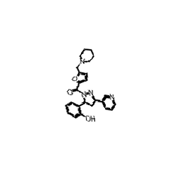 O=C(c1ccc(CN2CCCCC2)o1)N1N=C(c2cccnc2)CC1c1ccccc1O